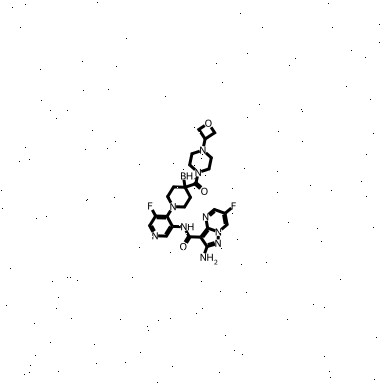 BC1(C(=O)N2CCN(C3COC3)CC2)CCN(c2c(F)cncc2NC(=O)c2c(N)nn3cc(F)cnc23)CC1